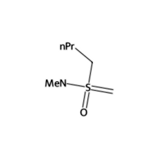 C=S(=O)(CCCC)NC